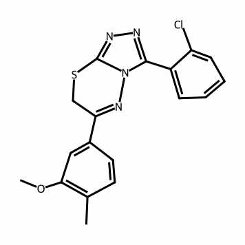 COc1cc(C2=Nn3c(nnc3-c3ccccc3Cl)SC2)ccc1C